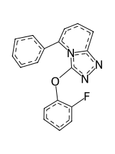 Fc1ccccc1Oc1nnc2cccc(-c3ccccc3)n12